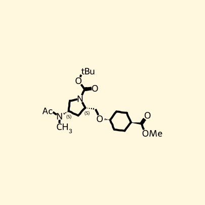 COC(=O)[C@H]1CC[C@H](OC[C@@H]2C[C@H](N(C)C(C)=O)CN2C(=O)OC(C)(C)C)CC1